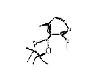 Cc1ccnc(F)c1B1OC(C)(C)C(C)(C)O1